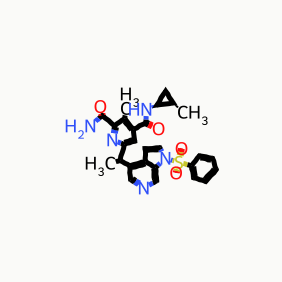 Cc1c(C(=O)N[C@H]2C[C@@H]2C)cc(C(C)c2cncc3c2ccn3S(=O)(=O)c2ccccc2)nc1C(N)=O